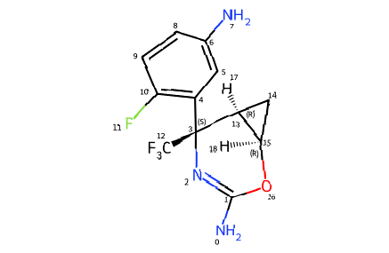 NC1=N[C@@](c2cc(N)ccc2F)(C(F)(F)F)[C@H]2C[C@H]2O1